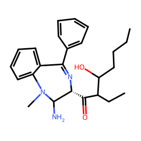 CCCCC(O)C(CC)C(=O)[C@H]1N=C(c2ccccc2)c2ccccc2N(C)C1N